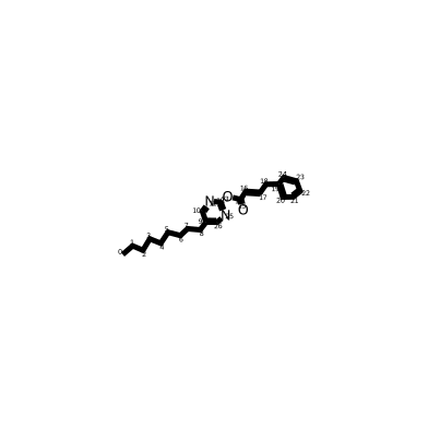 CCCCCCCCCc1cnc(OC(=O)/C=C/Cc2ccccc2)nc1